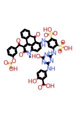 Cn1c(=O)c(C(=O)c2cccc(OS(=O)O)c2)c2c3c(c(Nc4cc(Nc5nc(O)nc(Nc6ccc(O)c(C(=O)O)c6)n5)c(S(=O)(=O)O)cc4S(=O)(=O)O)ccc31)C(=O)c1ccccc1-2